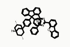 C[C@@H]1C[C@@H]2C[C@H](C)CC(c3ccc(C4(c5ccccc5)c5ccccc5-c5cccc(-c6nc(-c7ccccc7)nc(-c7cccc8c7oc7ccccc78)n6)c54)cc3)(C1)C2